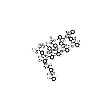 CC(C)C(C(N)=O)c1ccc2nc(-c3c(Cl)cccc3Cl)[nH]c2c1.CCC(C(N)=O)c1ccc2nc(-c3c(Cl)cccc3Cl)[nH]c2c1.CCOC(=O)Nc1ccc2nc(-c3cccc(Cl)c3Cl)[nH]c2c1.CCOC(C(N)=O)c1ccc2nc(-c3c(Cl)cccc3Cl)[nH]c2c1.Cc1cccc(C(N)=O)c1-c1ccc2nc(-c3c(Cl)cccc3Cl)[nH]c2c1.NC(=O)C(c1ccccc1)c1ccc2nc(-c3c(Cl)cccc3Cl)[nH]c2c1